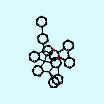 c1ccc(-c2ccc(N(c3ccc4c5ccccc5c5ccccc5c4c3)c3ccccc3C3(c4ccccc4)c4ccccc4C4(c5ccccc5)c5ccccc5-c5cccc3c54)cc2)cc1